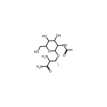 CC(=O)NC1C(O[C@H](C)C(N)C(N)=O)OC(CO)C(O)C1O